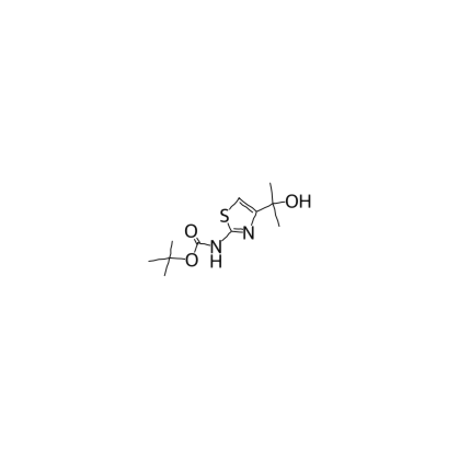 CC(C)(C)OC(=O)Nc1nc(C(C)(C)O)cs1